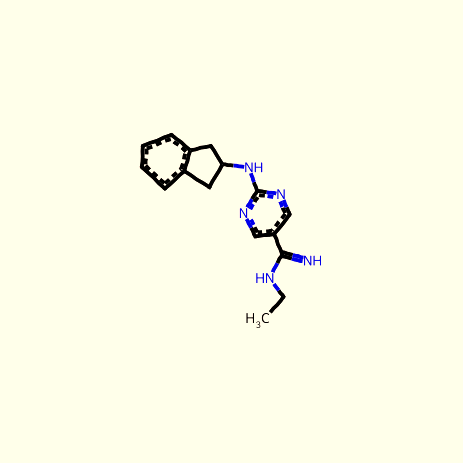 CCNC(=N)c1cnc(NC2Cc3ccccc3C2)nc1